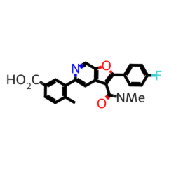 CNC(=O)c1c(-c2ccc(F)cc2)oc2cnc(-c3cc(C(=O)O)ccc3C)cc12